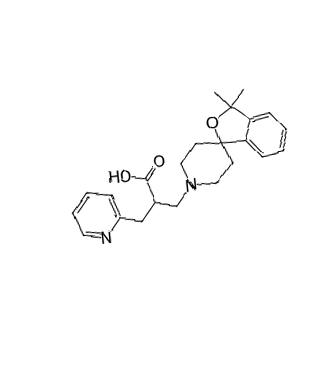 CC1(C)OC2(CCN(CC(Cc3ccccn3)C(=O)O)CC2)c2ccccc21